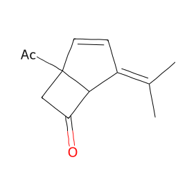 CC(=O)C12C=CC(=C(C)C)C1C(=O)C2